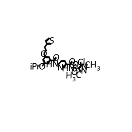 Cc1nn(C)c(Cl)c1S(=O)(=O)NC(=O)c1ccc(NC(=O)c2cc(OCCc3ccsc3)cc(OC(C)C)c2)nc1